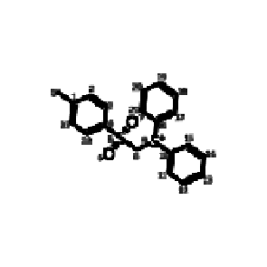 Cc1ccc(S(=O)(=O)C[S+](c2ccccc2)c2ccccc2)cc1